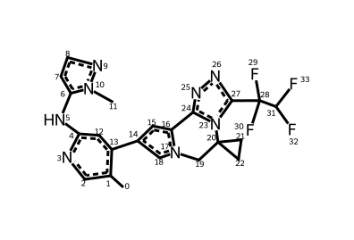 Cc1cnc(Nc2ccnn2C)cc1-c1cc2n(c1)CC1(CC1)n1c-2nnc1C(F)(F)C(F)F